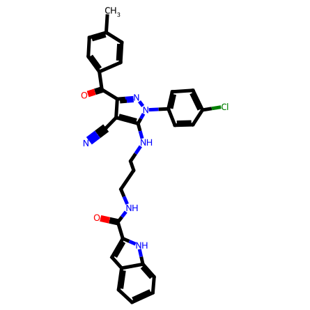 Cc1ccc(C(=O)c2nn(-c3ccc(Cl)cc3)c(NCCCNC(=O)c3cc4ccccc4[nH]3)c2C#N)cc1